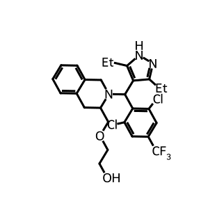 CCc1n[nH]c(CC)c1C(c1c(Cl)cc(C(F)(F)F)cc1Cl)N1Cc2ccccc2CC1COCCO